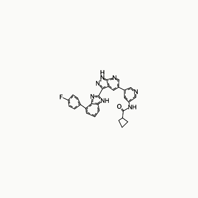 O=C(Nc1cncc(-c2cnc3[nH]nc(-c4nc5c(-c6ccc(F)cc6)cccc5[nH]4)c3c2)c1)C1CCC1